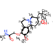 CNC(=O)COc1cc2c(cc1OC)[C@H]1C[C@@H](O)[C@H](CC(C)(C)C)CN1CC2